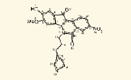 COc1cc2c(cc1O)C(=O)c1c-2n(CCCn2ccnc2)c(=O)c2cc([N+](=O)[O-])ccc12